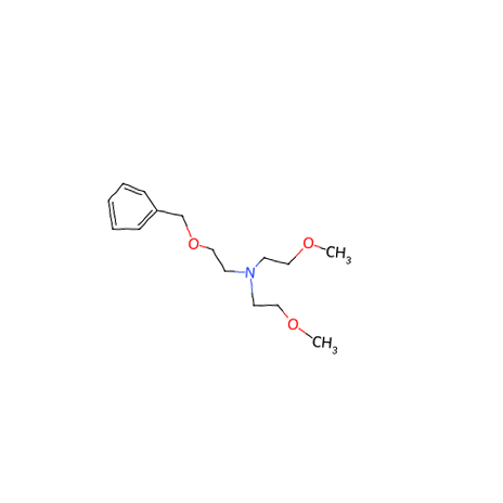 COCCN(CCOC)CCOCc1ccccc1